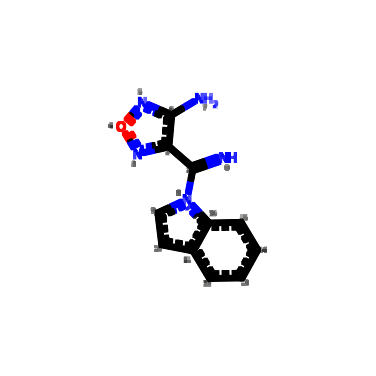 N=C(c1nonc1N)n1ccc2ccccc21